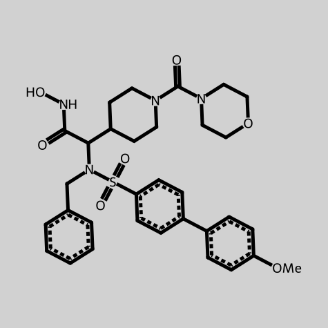 COc1ccc(-c2ccc(S(=O)(=O)N(Cc3ccccc3)C(C(=O)NO)C3CCN(C(=O)N4CCOCC4)CC3)cc2)cc1